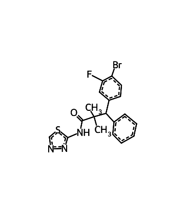 CC(C)(C(=O)Nc1nncs1)C(c1ccccc1)c1ccc(Br)c(F)c1